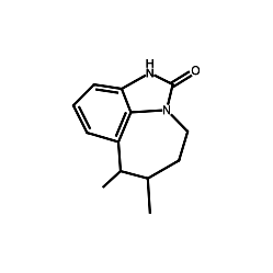 CC1CCn2c(=O)[nH]c3cccc(c32)C1C